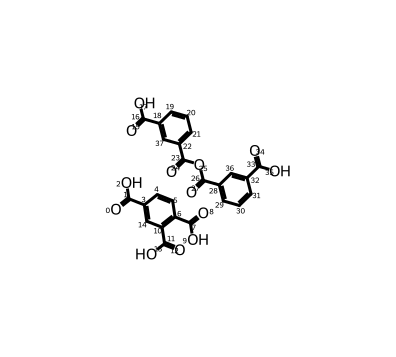 O=C(O)c1ccc(C(=O)O)c(C(=O)O)c1.O=C(O)c1cccc(C(=O)OC(=O)c2cccc(C(=O)O)c2)c1